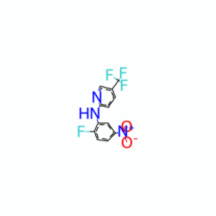 O=[N+]([O-])c1ccc(F)c(Nc2ccc(C(F)(F)F)cn2)c1